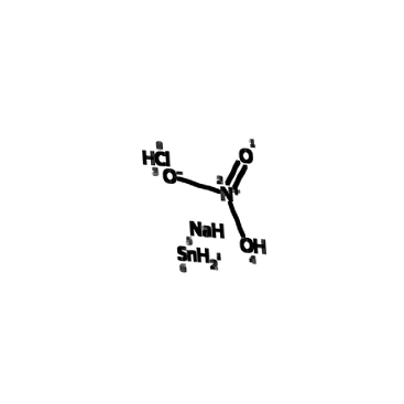 Cl.O=[N+]([O-])O.[NaH].[SnH2]